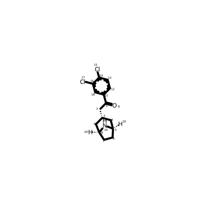 O=C(C[C@@H]1C[C@H]2CC[C@@H](C1)N2)c1ccc(Cl)c(Cl)c1